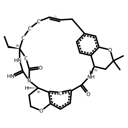 CC[C@]12CCC/C=C/Cc3ccc4c(c3)OC(C)(C)C[C@@H]4NC(=O)c3ccc4c(c3)[C@@H](CCO4)N(C(=N)N1)C(=O)C2